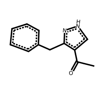 CC(=O)c1c[nH]nc1Cc1ccccc1